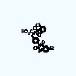 CCc1ccc2c(c1)c(=O)n(-c1ccc(C[C@H](NC(=O)c3c(Cl)cccc3Cl)C(=O)O)cc1)c(=O)n2C